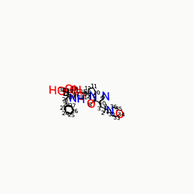 CC(C)(C=C(C#N)C(=O)N1CCC[C@]1(C)COC(=O)NC(Cc1ccccc1)B(O)O)N1CCOCC1